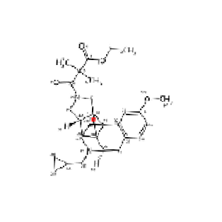 CCOC(=O)C(C)(C)C(=O)N1C[C@H]2C[C@@]34CCC1C2[C@@]31CCN(CC2CC2)[C@@H]4Cc2ccc(OC)cc21